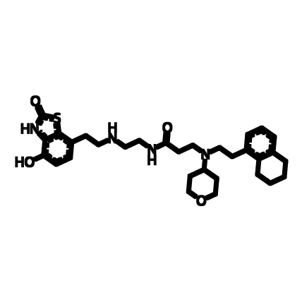 O=C(CCN(CCc1cccc2c1CCCC2)C1CCOCC1)NCCNCCc1ccc(O)c2[nH]c(=O)sc12